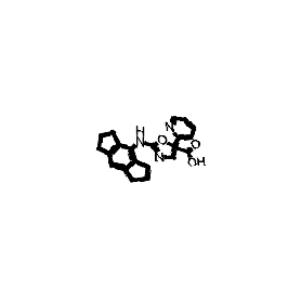 O=C(O)C1(c2ccccn2)CN=C(Nc2c3c(cc4c2CCC4)CCC3)O1